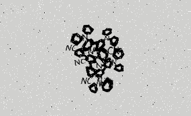 N#Cc1ccc(-c2c(C#N)c(-c3ccc(C#N)cc3)c(-n3c4ccc(N(c5ccccc5)c5ccccc5)cc4c4cc(N(c5ccccc5)c5ccccc5)ccc43)c(-c3ccc(C#N)cc3)c2-n2c3ccc(N(c4ccccc4)c4ccccc4)cc3c3cc(N(c4ccccc4)c4ccccc4)ccc32)cc1